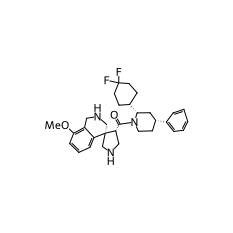 COc1cccc2c1CNC[C@]21CNC[C@H]1C(=O)N1CC[C@@H](c2ccccc2)C[C@H]1C1CCC(F)(F)CC1